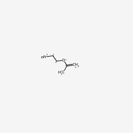 C=C(C)OCCCCC